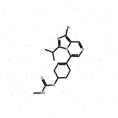 CNC(=O)OC1CC=C(c2cncc3c(Br)nc(C(C)C)n23)CC1